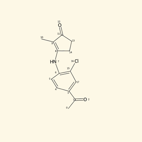 CC(=O)c1ccc(NC2=C(C)C(=O)CC2)c(Cl)c1